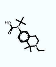 CCN1CCc2cc(N(C(=O)O)C(C)(C)C)ccc2C1(C)C